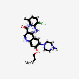 COCCOc1cc2ncc(C(N)=O)c(Nc3cc(C)ccc3F)c2cc1N1CCN(C)CC1